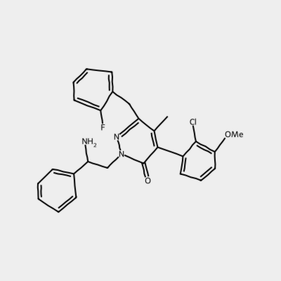 COc1cccc(-c2c(C)c(Cc3ccccc3F)nn(CC(N)c3ccccc3)c2=O)c1Cl